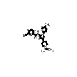 Cc1ccc(-n2nc(C3CCN(C(C)C)CC3)cc2NC(=O)c2cccc(C#N)n2)nc1